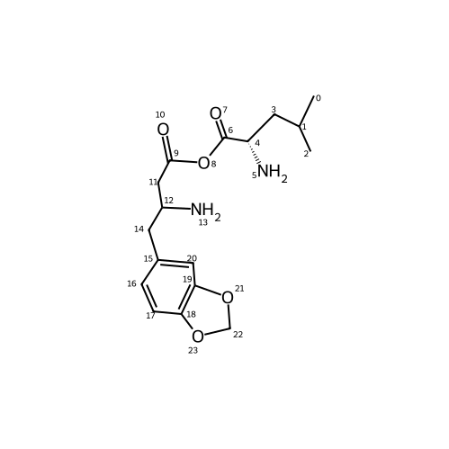 CC(C)C[C@H](N)C(=O)OC(=O)CC(N)Cc1ccc2c(c1)OCO2